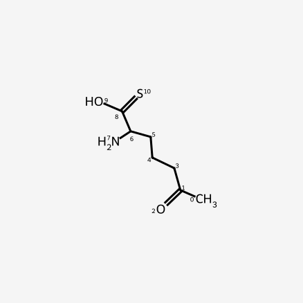 CC(=O)CCCC(N)C(O)=S